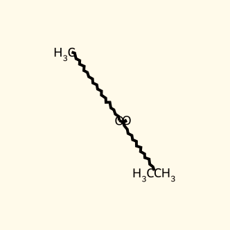 CCCCCCCCCCCCCCCCCCCCCCOC(=O)CCCCCCCCCCCCCCC(C)C